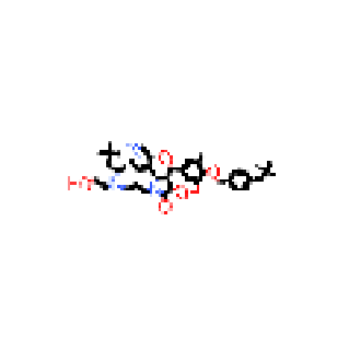 Cc1cc(C(=O)C2C(O)C(=O)N(CCCN(CCO)C(C)CC(C)(C)C)C2c2ccncc2)ccc1OCc1ccc(CC(C)(C)C)cc1